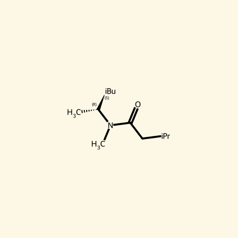 CC[C@H](C)[C@@H](C)N(C)C(=O)CC(C)C